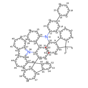 CC1(C)c2ccccc2-c2c(N(c3ccc(-c4ccccc4)cc3)c3ccccc3-c3cccc4c3-n3c5ccccc5c5cccc(c53)C43c4ccccc4-c4ccccc43)cccc21